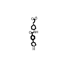 COC(=O)CC[C@H]1CC[C@H](NC(=O)c2ccc(C3CCNCC3)cc2)CC1